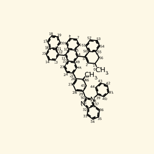 CC1C=C(c2c3ccccc3c(-c3cccc4ccccc34)c3ccc(C4=CC=C(c5nc6ccccc6n5-c5ccccc5)CC4C)cc23)c2ccccc2C1